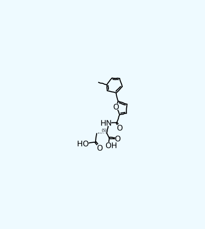 Cc1cccc(-c2ccc(C(=O)N[C@@H](CC(=O)O)C(=O)O)o2)c1